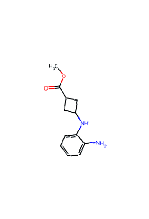 COC(=O)C1CC(Nc2ccccc2N)C1